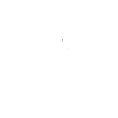 C[C@@H](NS(=O)(=O)C1CCC1)c1cn(CC2CCCC2)c2cc(-c3ccccc3C(F)(F)F)c(F)cc12